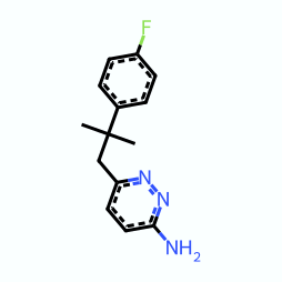 CC(C)(Cc1ccc(N)nn1)c1ccc(F)cc1